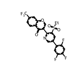 CCS(=O)(=O)c1cc(-c2cc(F)c(F)cc2F)cnc1-c1coc2cc(C(F)(F)F)ccc2c1=O